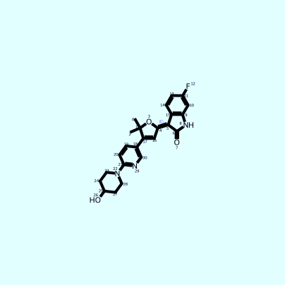 CC1(C)O/C(=C2/C(=O)Nc3cc(F)ccc32)C=C1c1ccc(N2CCC(O)CC2)nc1